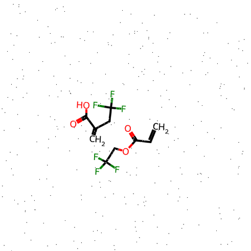 C=C(CC(F)(F)F)C(=O)O.C=CC(=O)OCC(F)(F)F